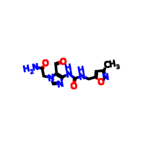 Cc1cc(CNC(=O)Nc2ncn(CC(N)=O)c2C=O)on1